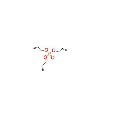 C=CCOP(=O)(OCC=C)OCC=C